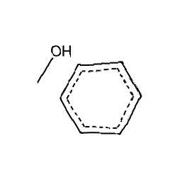 CO.c1ccccc1